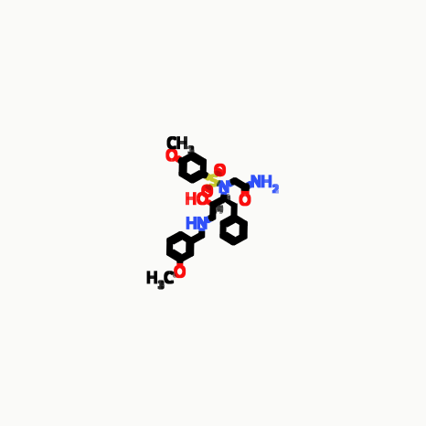 COc1ccc(S(=O)(=O)N(CC(N)=O)[C@@H](Cc2ccccc2)[C@H](O)CNCc2cccc(OC)c2)cc1